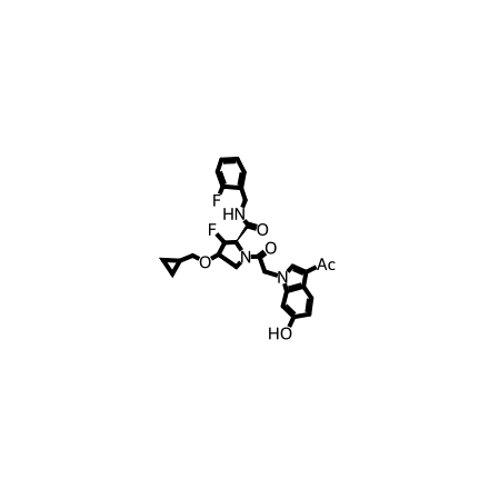 CC(=O)c1cn(CC(=O)N2CC(OCC3CC3)C(F)[C@H]2C(=O)NCc2ccccc2F)c2cc(O)ccc12